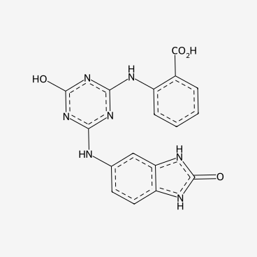 O=C(O)c1ccccc1Nc1nc(O)nc(Nc2ccc3[nH]c(=O)[nH]c3c2)n1